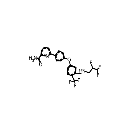 NC(=O)c1cccc(-c2ccc(Oc3ccc(C(F)(F)F)c(CNCC(F)C(F)F)c3)cc2)n1